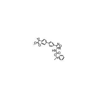 COC(=O)C1(c2ccc(-c3ccc(-c4nonc4NC(=O)O[C@H](C)c4ccccc4)cc3)cc2)CC1